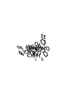 CCC[C@H]1C([C@H](C)CC)C(C)[C@@](O)([C@@H](O)[C@H](C)CC(C)[C@H](C)OC(=O)c2ccccc2NC(=O)c2ccc(CC)cc2)[C@H]1OC